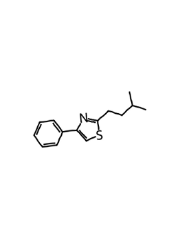 CC(C)CCc1nc(-c2ccccc2)cs1